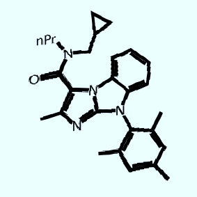 CCCN(CC1CC1)C(=O)c1c(C)nc2n(-c3c(C)cc(C)cc3C)c3ccccc3n12